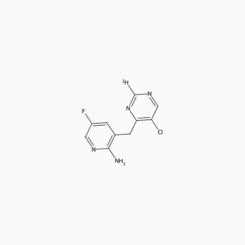 [2H]c1ncc(Cl)c(Cc2cc(F)cnc2N)n1